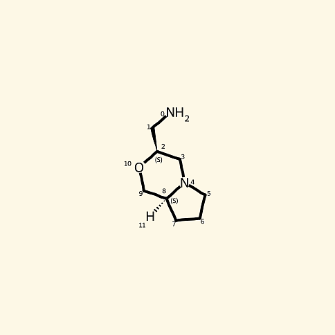 NC[C@H]1CN2CCC[C@H]2CO1